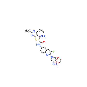 Cc1nc(C)c2c(N)c(C(=O)NC3CCc4nc(N5CC(N)C6(C5)OCCO6)c(F)cc4C3)sc2n1